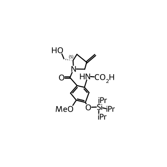 C=C1C[C@@H](CO)N(C(=O)c2cc(OC)c(O[Si](C(C)C)(C(C)C)C(C)C)cc2NC(=O)O)C1